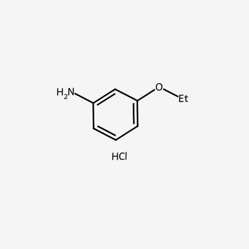 CCOc1cccc(N)c1.Cl